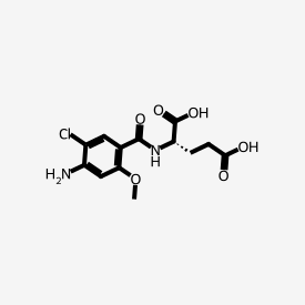 COc1cc(N)c(Cl)cc1C(=O)N[C@@H](CCC(=O)O)C(=O)O